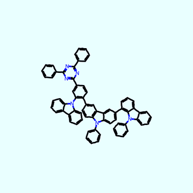 c1ccc(-c2nc(-c3ccccc3)nc(-c3ccc(-c4ccc5c(c4)c4cc(-c6cccc7c8ccccc8n(-c8ccccc8)c67)ccc4n5-c4ccccc4)c(-n4c5ccccc5c5ccccc54)c3)n2)cc1